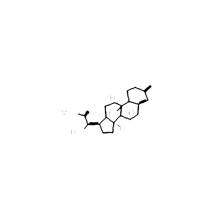 COC(=O)C(C)=C1CC[C@H]2[C@@H]3CCC4=CC(=O)CC[C@]4(C)C3(O)CC[C@]12C